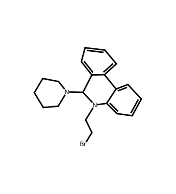 BrCCN1c2ccccc2-c2ccccc2C1N1CCCCC1